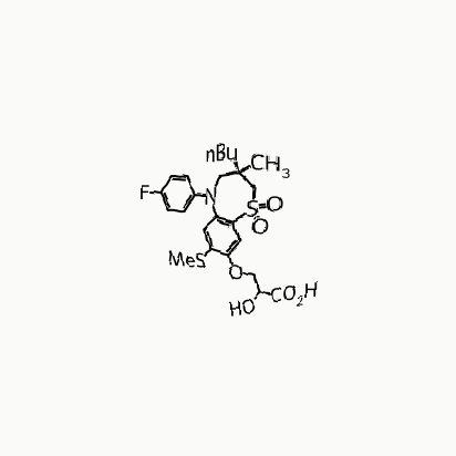 CCCC[C@]1(C)CN(c2ccc(F)cc2)c2cc(SC)c(OC[C@H](O)C(=O)O)cc2S(=O)(=O)C1